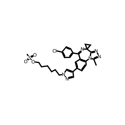 Cc1nnc2n1-c1ccc(-c3cnn(CCCCCCOS(C)(=O)=O)c3)cc1C(c1ccc(Cl)cc1)=NC21CC1